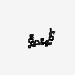 O=C1O[C@]2(CC[C@@H](C(=O)Nc3cc(-c4cccc(OC(F)F)c4)[nH]n3)CC2)c2c[n+]([O-])ccc21